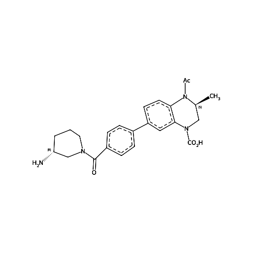 CC(=O)N1c2ccc(-c3ccc(C(=O)N4CCC[C@@H](N)C4)cc3)cc2N(C(=O)O)C[C@@H]1C